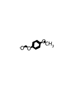 COc1ccc(OC[O])cc1